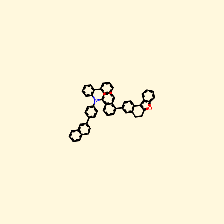 c1ccc(-c2ccccc2N(c2ccc(-c3ccc4ccccc4c3)cc2)c2cccc3c(-c4ccc5c(c4)CCc4oc6ccccc6c4-5)cccc23)cc1